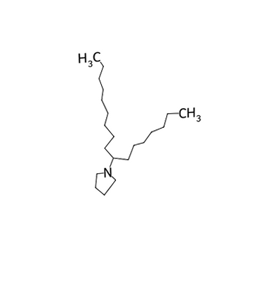 CCCCCCCCCC(CCCCCCC)N1CCCC1